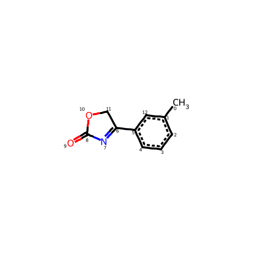 Cc1cccc(C2=NC(=O)OC2)c1